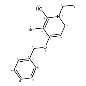 CCN1CC=C(OCc2ccccc2)C(Br)=C1O